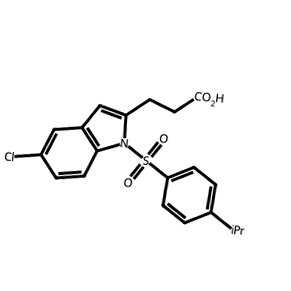 CC(C)c1ccc(S(=O)(=O)n2c(CCC(=O)O)cc3cc(Cl)ccc32)cc1